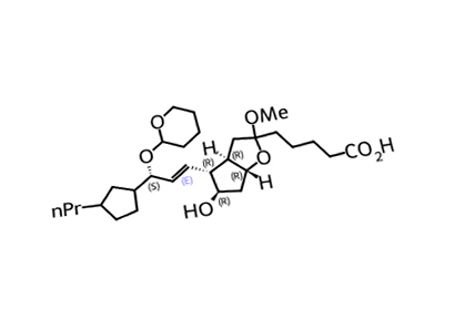 CCCC1CCC([C@@H](/C=C/[C@@H]2[C@H]3CC(CCCCC(=O)O)(OC)O[C@@H]3C[C@H]2O)OC2CCCCO2)C1